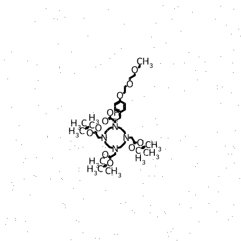 CCOCCOCCOc1ccc(C[C@H](C(=O)O)N2CCN(CC(=O)OC(C)(C)C)CCN(CC(=O)OC(C)(C)C)CCN(CC(=O)OC(C)(C)C)CC2)cc1